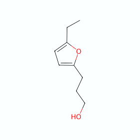 CCc1ccc(CCCO)o1